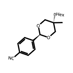 CCCCCC[C@]1(C)CO[C@@H](c2ccc(C#N)cc2)OC1